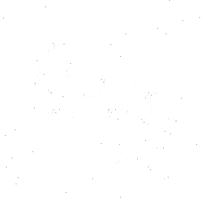 CC(=O)N1CCCC(n2c(=O)[nH]c3cnc(-c4cnn5ccc(C)cc45)nc32)C1